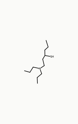 CCCC(S)CCN(CCC)CCC